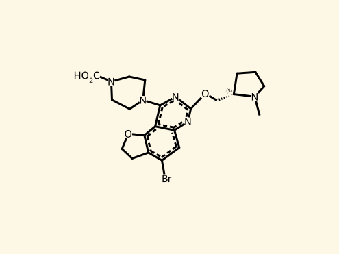 CN1CCC[C@H]1COc1nc(N2CCN(C(=O)O)CC2)c2c3c(c(Br)cc2n1)CCO3